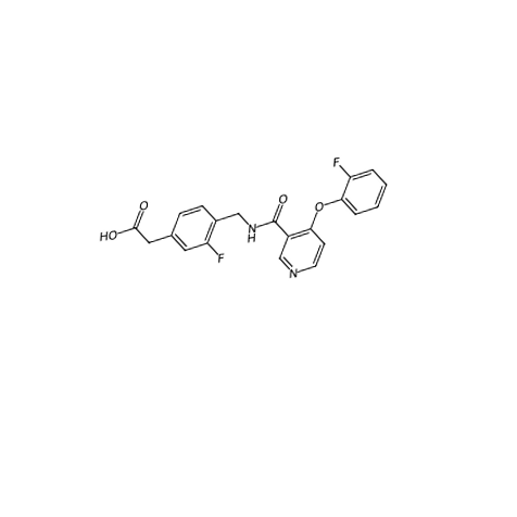 O=C(O)Cc1ccc(CNC(=O)c2cnccc2Oc2ccccc2F)c(F)c1